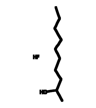 CCCCCCCCC(C)O.F